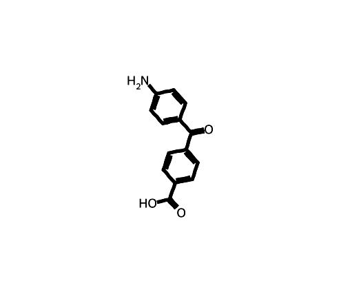 Nc1ccc(C(=O)c2ccc(C(=O)O)cc2)cc1